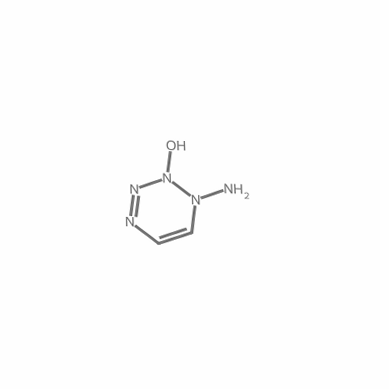 NN1C=CN=NN1O